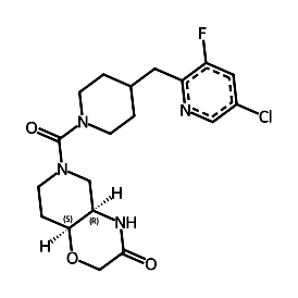 O=C1CO[C@H]2CCN(C(=O)N3CCC(Cc4ncc(Cl)cc4F)CC3)C[C@H]2N1